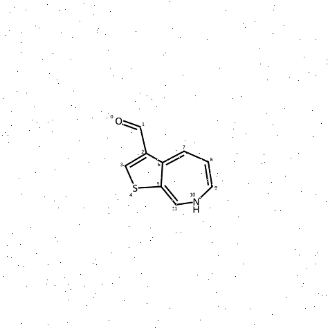 O=Cc1csc2c1=CC=CNC=2